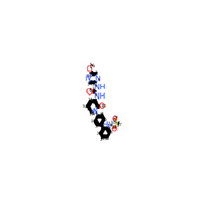 COc1cnc(NC(=O)N[C@@H]2CCCN(c3ccc(-c4ccccc4NS(C)(=O)=O)cc3)C2=O)cn1